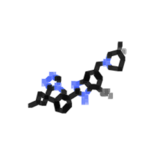 CC1CC(c2cccc(-c3nc4cc(CN5CCC[C@H](C)C5)cc(C(F)(F)F)c4[nH]3)c2)(c2nncn2C)C1